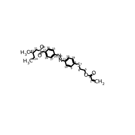 C=CC(=O)OCCSc1ccc(N=Nc2ccc(S(=O)(=O)C[C@H](C)CC)cc2)cc1